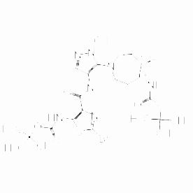 Cn1ncc(NC(=O)c2nc(Br)sc2NC(=O)OC(C)(C)C)c1N1CC[C@@H](F)[C@H](NC(=O)OC(C)(C)C)CC1